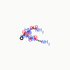 C[C@@H](CC(N)=O)OCNC(=O)CNC(=O)[C@H](Cc1ccccc1)NC(=O)CNC(=O)CNC(=O)CCCCCN